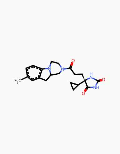 O=C1NC(=O)[C@](CCC(=O)N2CCN3c4ccc(C(F)(F)F)cc4CC3C2)(C2CC2)N1